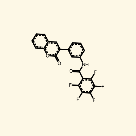 O=C(Nc1cccc(-c2cc3ccccc3oc2=O)c1)c1c(F)c(F)c(F)c(F)c1F